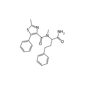 Cc1nc(C(=O)N(C)C(CCc2ccccc2)C(N)=O)c(-c2ccccc2)s1